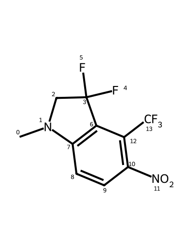 CN1CC(F)(F)c2c1ccc([N+](=O)[O-])c2C(F)(F)F